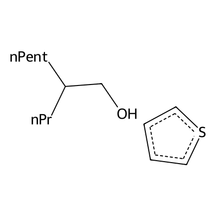 CCCCCC(CO)CCC.c1ccsc1